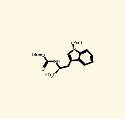 CCCCCn1cc(C[C@H](NC(=O)OC(C)(C)C)C(=O)O)c2ccccc21